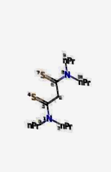 CCCN(CCC)C(=S)CC(=S)N(CCC)CCC